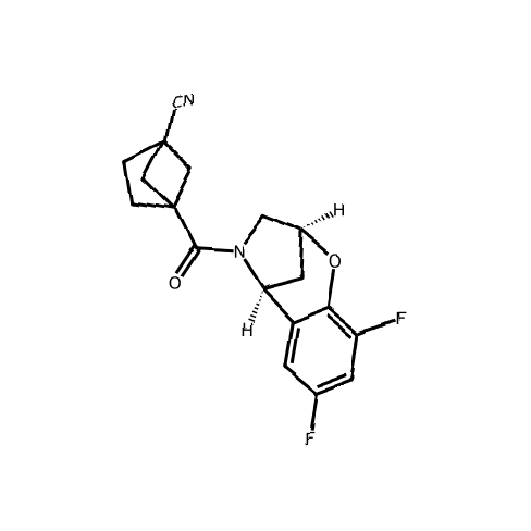 N#CC12CCC(C(=O)N3C[C@@H]4C[C@H]3c3cc(F)cc(F)c3O4)(C1)C2